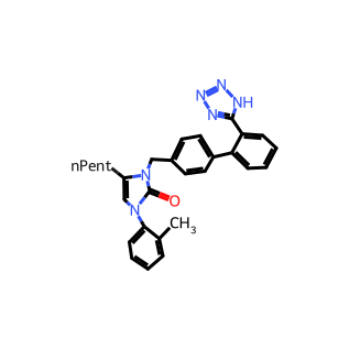 CCCCCc1cn(-c2ccccc2C)c(=O)n1Cc1ccc(-c2ccccc2-c2nnn[nH]2)cc1